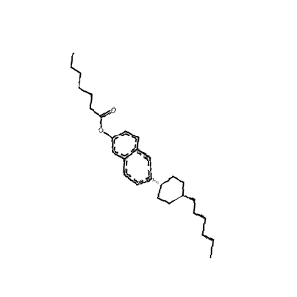 CCCCCCC(=O)Oc1ccc2cc([C@H]3CC[C@H](CCCCCC)CC3)ccc2c1